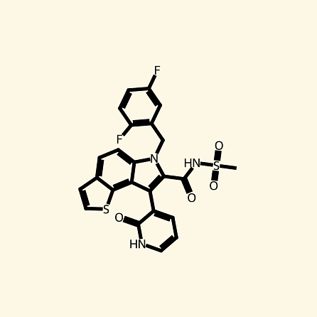 CS(=O)(=O)NC(=O)c1c(-c2ccc[nH]c2=O)c2c3sccc3ccc2n1Cc1cc(F)ccc1F